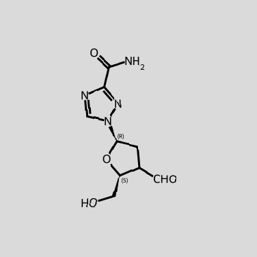 NC(=O)c1ncn([C@H]2CC(C=O)[C@@H](CO)O2)n1